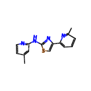 Cc1ccnc(Nc2nc(-c3cccc(C)n3)cs2)c1